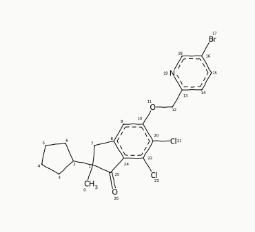 CC1(C2CCCC2)Cc2cc(OCc3ccc(Br)cn3)c(Cl)c(Cl)c2C1=O